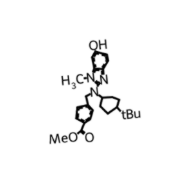 COC(=O)c1ccc(CN(c2nc3ccc(O)cc3n2C)C2CCC(C(C)(C)C)CC2)cc1